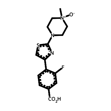 C[N+]1([O-])CCN(c2nc(-c3ccc(C(=O)O)cc3F)cs2)CC1